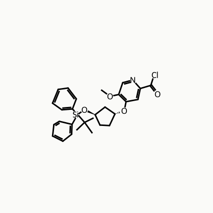 COc1cnc(C(=O)Cl)cc1O[C@@H]1CC[C@@H](O[Si](c2ccccc2)(c2ccccc2)C(C)(C)C)C1